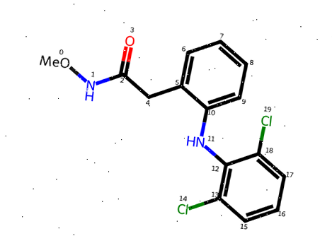 CONC(=O)Cc1ccccc1Nc1c(Cl)cccc1Cl